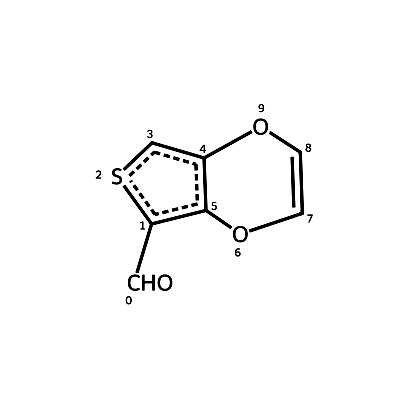 O=Cc1scc2c1OC=CO2